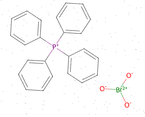 [O-][Br+2]([O-])[O-].c1ccc([P+](c2ccccc2)(c2ccccc2)c2ccccc2)cc1